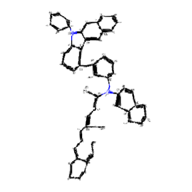 C/C=c1/cccc/c1=C/C=C/C(C)=C/C=C(\CC)N(c1cccc(-c2cccc3c2c2cc4ccccc4cc2n3-c2ccccc2)c1)c1ccc2ccccc2c1